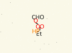 CCPCC(=O)OCCOCC=O